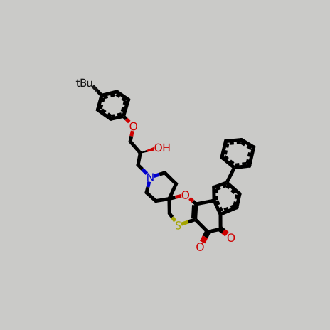 CC(C)(C)c1ccc(OC[C@@H](O)CN2CCC3(CC2)CSC2=C(O3)c3cc(-c4ccccc4)ccc3C(=O)C2=O)cc1